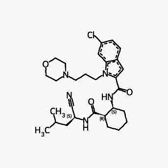 CC(C)C[C@@H](C#N)NC(=O)[C@@H]1CCCC[C@@H]1NC(=O)c1cc2ccc(Cl)cc2n1CCCN1CCOCC1